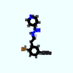 COc1ccc(Br)c(C/C=N/Nc2ccncc2)c1